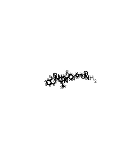 C[C@@H]1c2ccccc2CCN1C(=O)c1cc(C2CC2)n2nc(-c3ccc([C@H]4C[C@H](COC(N)=O)C4)cc3F)cc2n1